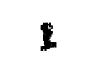 CC(C)Oc1ccc(-c2nnc(-c3cccc4c3CCC4OC(N)=O)s2)cc1C#N